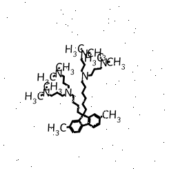 Cc1ccc2c(c1)C(CCCCCCN(CCCN(C)C)CCCN(C)C)(CCCCN(CCCN(C)C)CCCN(C)C)c1cc(C)ccc1-2